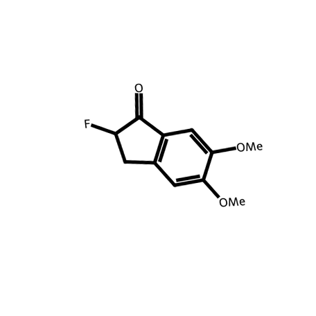 COc1cc2c(cc1OC)C(=O)C(F)C2